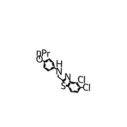 CCCOc1ccc(NCc2nc3c(Cl)c(Cl)ccc3s2)cc1